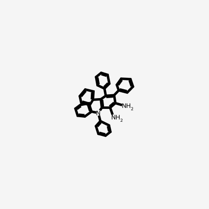 Nc1c(N)c(N(c2ccccc2)c2ccccc2)c(-c2ccccc2)c(-c2ccccc2)c1-c1ccccc1